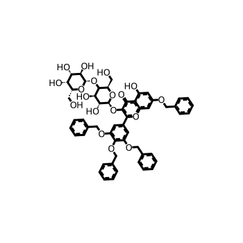 O=c1c(O[C@@H]2O[C@H](CO)C(O[C@@H]3O[C@H](CO)[C@H](O)[C@H](O)[C@H]3O)[C@H](O)[C@H]2O)c(-c2cc(OCc3ccccc3)c(OCc3ccccc3)c(OCc3ccccc3)c2)oc2cc(OCc3ccccc3)cc(O)c12